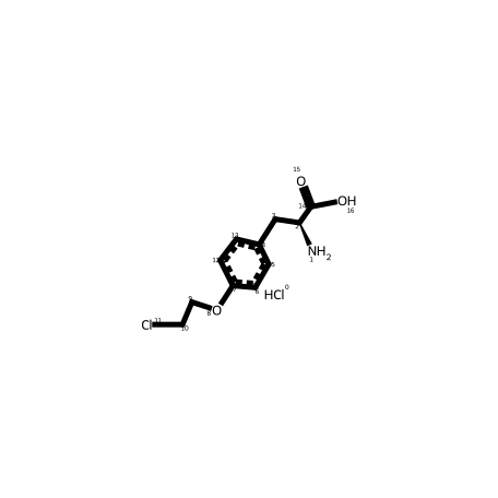 Cl.N[C@@H](Cc1ccc(OCCCl)cc1)C(=O)O